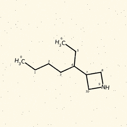 CCCCC(CC)C1CNC1